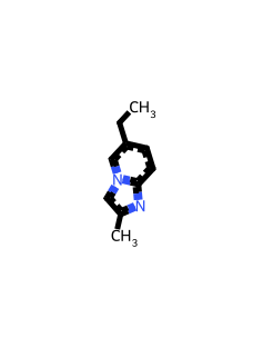 CCc1ccc2nc(C)cn2c1